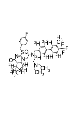 [2H]c1c([2H])c(-c2c([2H])c([2H])c(C(F)(F)F)c(C)c2[2H])c([2H])c([2H])c1CN(CCN(CC)CC)C(=O)Cn1c(SCc2ccc(F)cc2)nc(=O)c2c1C([2H])([2H])C([2H])(C)C2([2H])[2H]